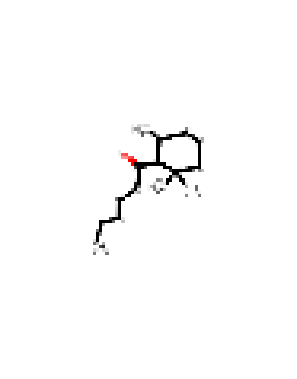 CCCCCC(=O)C1C(C)CCCC1(C)C